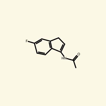 CC(=O)NC1=CCc2cc(F)ccc21